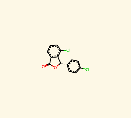 O=C1O[C@@H](c2ccc(Cl)cc2)c2c(Cl)cccc21